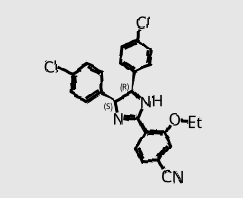 CCOc1cc(C#N)ccc1C1=N[C@@H](c2ccc(Cl)cc2)[C@@H](c2ccc(Cl)cc2)N1